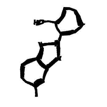 Cc1ccc2nn(-c3c[c]ccc3O)nc2c1